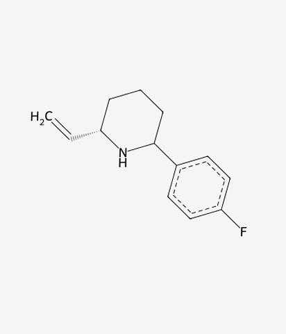 C=C[C@@H]1CCCC(c2ccc(F)cc2)N1